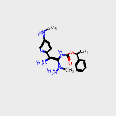 CSNc1ccc(/C(N)=C(\NC(=O)OC(C)c2ccccc2)N(C)N)nc1